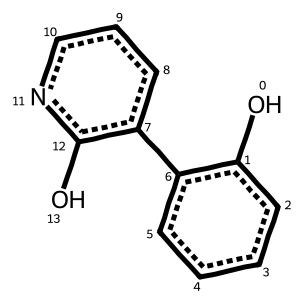 Oc1ccccc1-c1cccnc1O